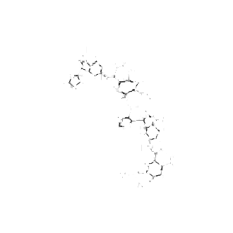 COc1nc2c(cc1C#N)CCC[C@H]2Nc1ccc2[nH]nc(-c3ocnc3COc3nc4c(cc3C#N)CCC[C@@H]4Nc3ccc4[nH]nc(-c5cnco5)c4c3)c2c1